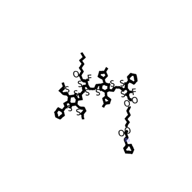 CCCCCCC(=O)c1sc2c(-c3cc4c(-c5ccc(C)s5)c5sc(-c6ccccc6)cc5c(-c5ccc(C)s5)c4s3)sc(-c3cc4c(C5=CC=C(C)C5)c5sc(-c6sc(-c7ccccc7)c7c(F)c(C(=O)OCCCCCCOC(=O)/C=C/c8ccccc8)sc67)cc5c(C5=CC=C(C)C5)c4s3)c2c1F